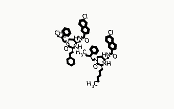 CCCCCC[C@@H]1N[C@H](CNC(=O)c2ccc3cc(Cl)ccc3c2)CCN(C[C@@H](CC)c2ccccc2)C1=O.CC[C@H](CN1CC[C@@H](CNC(=O)c2ccc3cc(Cl)ccc3c2)N[C@@H](CCC2CCCCC2)C1=O)c1ccccc1